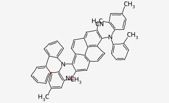 Cc1ccc(N(c2ccccc2C)c2c(C#N)cc3ccc4c(N(c5ccc(C)cc5C)c5ccccc5-c5ccccc5)c(C#N)cc5ccc2c3c54)c(C)c1